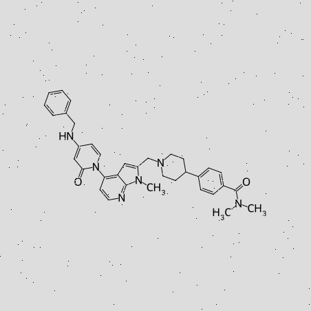 CN(C)C(=O)c1ccc(C2CCN(Cc3cc4c(-n5ccc(NCc6ccccc6)cc5=O)ccnc4n3C)CC2)cc1